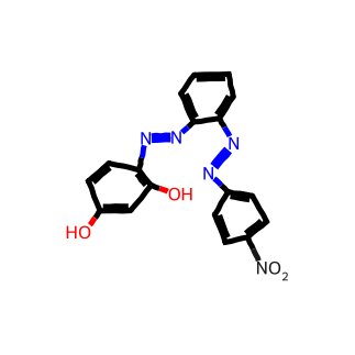 O=[N+]([O-])c1ccc(N=Nc2ccccc2N=Nc2ccc(O)cc2O)cc1